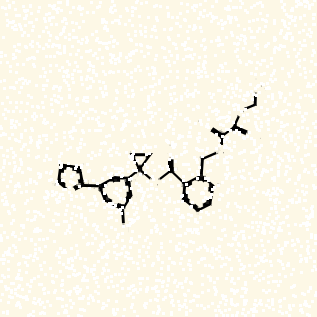 N#CCNC(=O)C(=O)NCc1ccccc1C(=O)NC1(c2cc(Cl)cc(-c3cccs3)c2)CC1